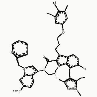 Cc1cc(OCCCc2c3n(c4c(-c5c(C)nn(C)c5C)c(Cl)ccc24)[C@H](C)CN(c2cn(Cc4ccccn4)c4cc(C(=O)O)ccc24)C3=O)cc(C)c1Cl